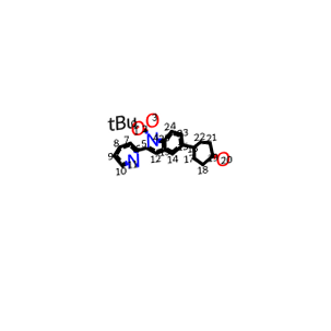 CC(C)(C)OC(=O)n1c(-c2ccccn2)cc2cc(C3CCC(=O)CC3)ccc21